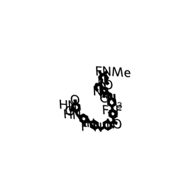 CNc1cc(=O)n(-c2ccnc3c2cc(CN2CCC(c4c(F)cc(C(=O)N5CCC(CN6CCN(c7ccc(NC8CCC(=O)NC8=O)cc7F)CC6)CC5)cc4F)CC2)n3C)cc1F